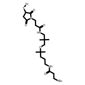 CCSC1CC(=O)N(CCC(=O)NCC(C)(C)COC(C)(C)CCCNC(=O)CCC(C)(C)C)C1=O